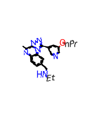 CCCOc1cncc(-c2nnc3c(C)nc4ccc(CNCC)cc4n23)c1